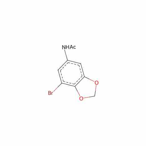 CC(=O)Nc1cc(Br)c2c(c1)OCO2